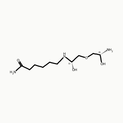 NC(=O)CCCCCN[C@@H](O)COC[C@H](N)O